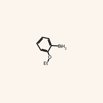 CCOc1cccc[c]1[BiH2]